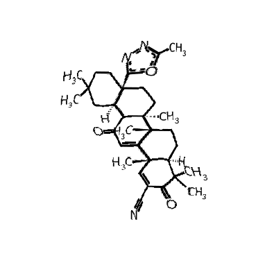 Cc1nnc([C@]23CCC(C)(C)C[C@@H]2C2C(=O)C=C4[C@@]5(C)C=C(C#N)C(=O)C(C)(C)[C@@H]5CC[C@@]4(C)[C@]2(C)CC3)o1